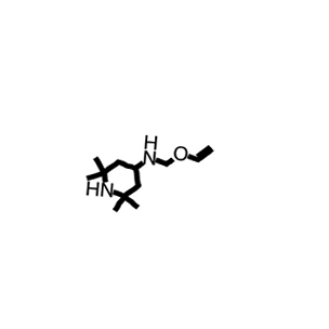 C=COCNC1CC(C)(C)NC(C)(C)C1